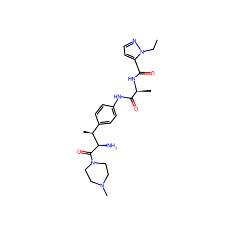 CCn1nccc1C(=O)N[C@@H](C)C(=O)Nc1ccc([C@H](C)[C@@H](N)C(=O)N2CCN(C)CC2)cc1